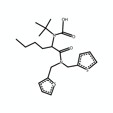 CCCCC(C(=O)N(Cc1cccs1)Cc1cccs1)N(C(=O)O)C(C)(C)C